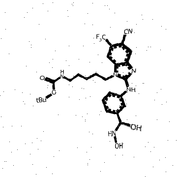 CC(C)(C)OC(=O)NCCCCCn1c(Nc2cccc(C(O)NO)c2)nc2cc(C#N)c(C(F)(F)F)cc21